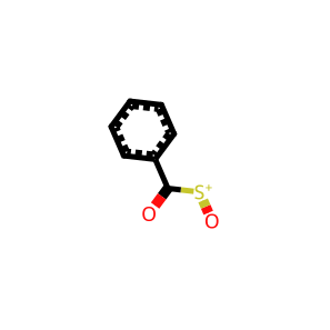 O=[S+]C(=O)c1ccccc1